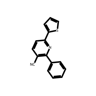 N#Cc1ccc(-c2cccs2)nc1-c1ccccc1